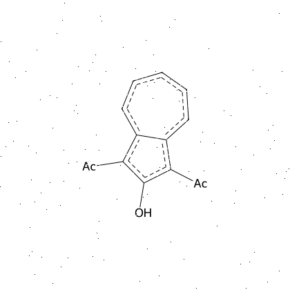 CC(=O)c1c2cccccc-2c(C(C)=O)c1O